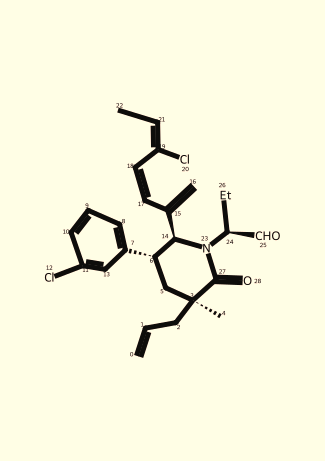 C=CC[C@@]1(C)C[C@H](c2cccc(Cl)c2)[C@@H](C(=C)/C=C\C(Cl)=C/C)N([C@H](C=O)CC)C1=O